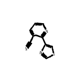 N#Cc1cccnc1-c1cscn1